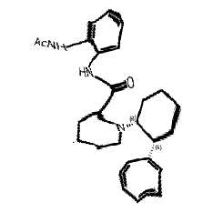 CC(=O)Nc1ccccc1NC(=O)C1C[CH]CCN1[C@@H]1CCCC[C@@H]1c1ccccc1